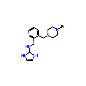 CCN1CCN(Cc2ccccc2CNC2NC=CN2)CC1